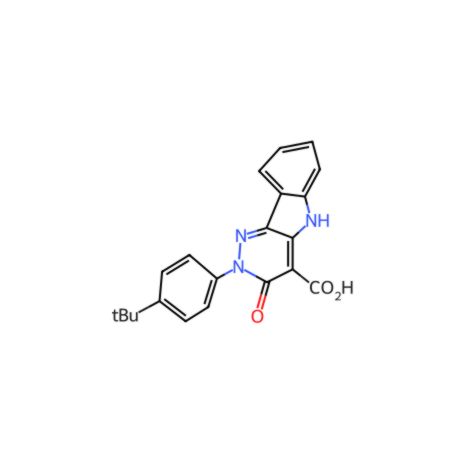 CC(C)(C)c1ccc(-n2nc3c([nH]c4ccccc43)c(C(=O)O)c2=O)cc1